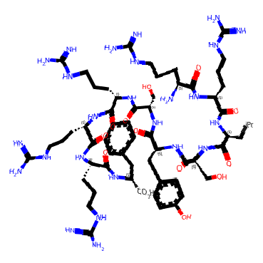 CC(C)C[C@H](NC(=O)[C@H](CCCNC(=N)N)NC(=O)[C@@H](N)CCCNC(=N)N)C(=O)N[C@@H](CO)C(=O)N[C@@H](Cc1ccc(O)cc1)C(=O)N[C@@H](CO)C(=O)N[C@@H](CCCNC(=N)N)C(=O)N[C@@H](CCCNC(=N)N)C(=O)N[C@@H](CCCNC(=N)N)C(=O)N[C@@H](Cc1ccccc1)C(=O)O